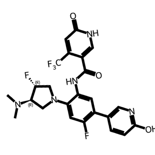 CN(C)[C@@H]1CN(c2cc(F)c(-c3ccc(O)nc3)cc2NC(=O)c2c[nH]c(=O)cc2C(F)(F)F)C[C@H]1F